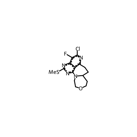 CSc1nc2c3c(nc(Cl)c(F)c3n1)CCC1CCOCCN21